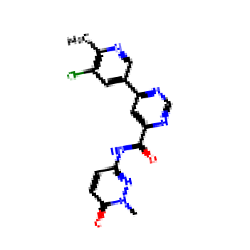 COc1ncc(-c2cc(C(=O)Nc3ccc(=O)n(C)n3)ncn2)cc1Cl